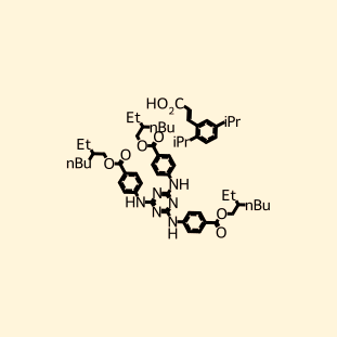 CC(C)c1ccc(C(C)C)c(C=CC(=O)O)c1.CCCCC(CC)COC(=O)c1ccc(Nc2nc(Nc3ccc(C(=O)OCC(CC)CCCC)cc3)nc(Nc3ccc(C(=O)OCC(CC)CCCC)cc3)n2)cc1